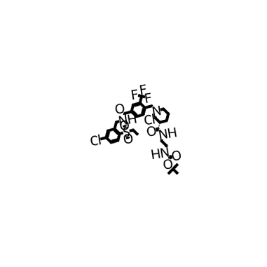 CCS(=O)(=O)c1ccc(Cl)cc1CNC(=O)c1cc(Cl)c(CN2CCC[C@H](C(=O)NCCNC(=O)OC(C)(C)C)C2)c(C(F)(F)F)c1